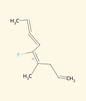 C=CC/C(C)=C(/F)C=C=CC